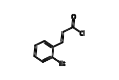 CCc1ccccc1C=CC(=O)Cl